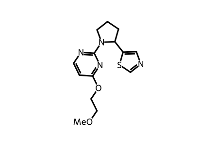 COCCOc1ccnc(N2CCCC2c2cncs2)n1